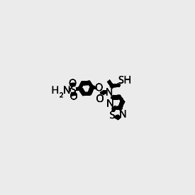 CC(CS)N(C(=O)Oc1ccc(S(N)(=O)=O)cc1)c1ccc2ncsc2n1